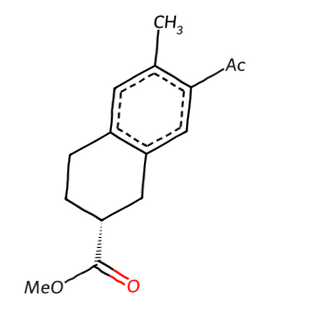 COC(=O)[C@@H]1CCc2cc(C)c(C(C)=O)cc2C1